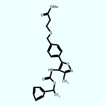 COC(=O)CCSCc1ccc(-c2onc(C)c2NC(=O)OC(c2ccccc2)C(F)(F)F)cc1